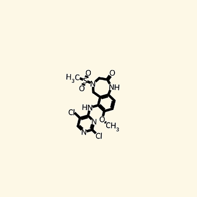 COc1ccc2c(c1Nc1nc(Cl)ncc1Cl)CN(S(C)(=O)=O)CC(=O)N2